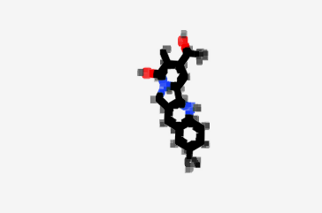 CCC(=O)c1cc2n(c(=O)c1C)Cc1cc3cc(C#N)ccc3nc1-2